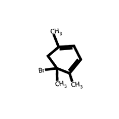 CC1=CC=C(C)C(C)(Br)C1